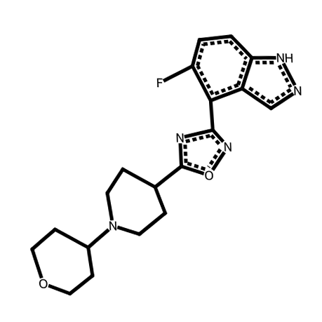 Fc1ccc2[nH]ncc2c1-c1noc(C2CCN(C3CCOCC3)CC2)n1